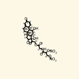 C[C@]12C=CC(=O)C=C1CC[C@H]1[C@@H]3C[C@@H](O)[C@](O)(C(=O)COC(=O)CNC(=O)C(CO[N+](=O)[O-])O[N+](=O)[O-])[C@@]3(C)C[C@H](O)[C@@]12F